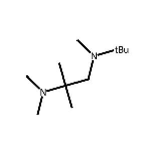 CN(CC(C)(C)N(C)C)C(C)(C)C